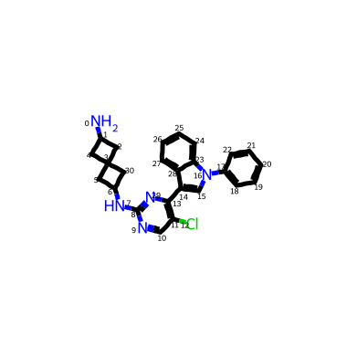 NC1CC2(C1)CC(Nc1ncc(Cl)c(-c3cn(-c4ccccc4)c4ccccc34)n1)C2